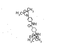 CCC(C)(C)S(=O)(=O)NC1CCC(C(=O)Nc2ccc(N3C[C@@H](C)O[C@@H](C)C3)cc2)CC1